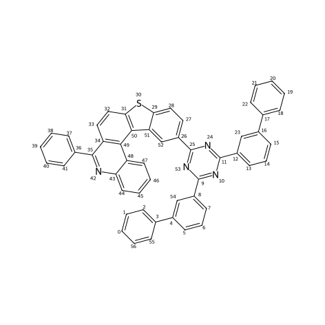 c1ccc(-c2cccc(-c3nc(-c4cccc(-c5ccccc5)c4)nc(-c4ccc5sc6ccc7c(-c8ccccc8)nc8ccccc8c7c6c5c4)n3)c2)cc1